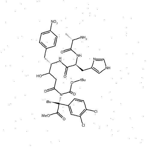 CC[C@H](C)[C@](C(=O)OC)(c1ccc(Cl)c(Cl)c1)N(C(=O)CC(O)[C@H](Cc1ccc([N+](=O)[O-])cc1)NC(=O)[C@H](Cc1c[nH]cn1)NC(=O)[C@H](C)N)C(=O)OC(C)(C)C